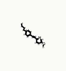 CCCCc1ccc(C#Cc2ccc(OC)cn2)cc1